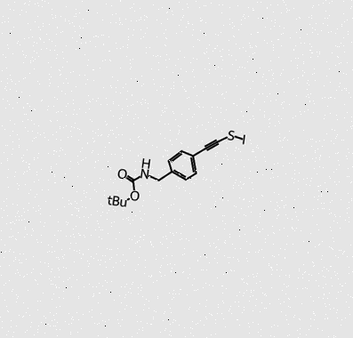 CC(C)(C)OC(=O)NCc1ccc(C#CSI)cc1